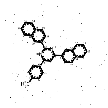 Cc1ccc(-c2cc(-c3ccc4ccccc4c3)nc(-c3ccc4ccccc4c3)n2)cc1